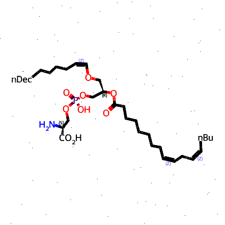 CCCC/C=C\C/C=C\CCCCCCCC(=O)O[C@H](CO/C=C\CCCCCCCCCCCCCC)COP(=O)(O)OC[C@H](N)C(=O)O